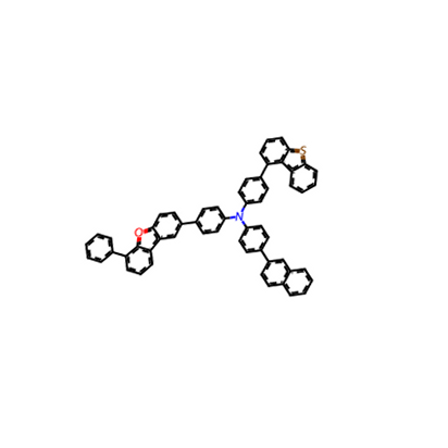 c1ccc(-c2cccc3c2oc2ccc(-c4ccc(N(c5ccc(-c6ccc7ccccc7c6)cc5)c5ccc(-c6cccc7sc8ccccc8c67)cc5)cc4)cc23)cc1